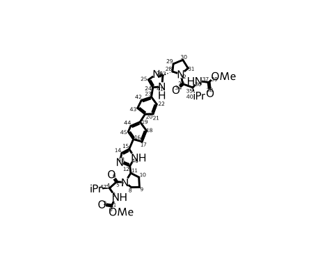 COC(=O)N[C@H](C(=O)N1CCCC1c1ncc(-c2ccc(-c3ccc(-c4cnc([C@@H]5CCCN5C(=O)[C@@H](NC(=O)OC)C(C)C)[nH]4)cc3)cc2)[nH]1)C(C)C